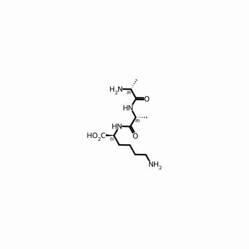 C[C@@H](N)C(=O)N[C@H](C)C(=O)N[C@@H](CCCCN)C(=O)O